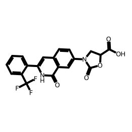 O=C(O)C1CN(c2ccc3cc(-c4ccccc4C(F)(F)F)[nH]c(=O)c3c2)C(=O)O1